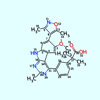 COc1cc2c(cc1-c1c(C)noc1C)[nH]c1nc(C)nc(-c3cccc(C(C)(C)C(=O)O)c3)c12